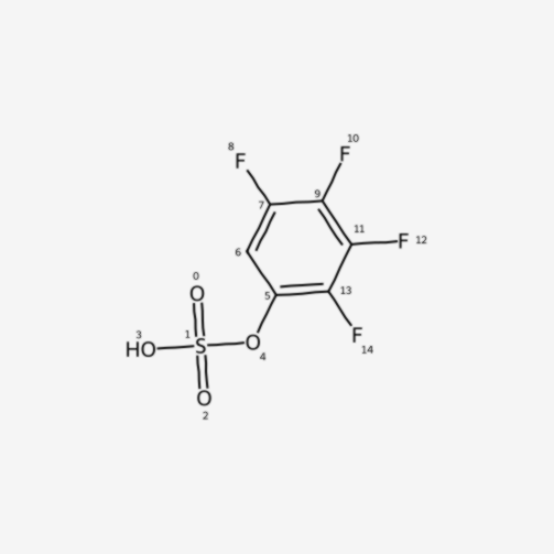 O=S(=O)(O)Oc1cc(F)c(F)c(F)c1F